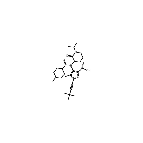 Cc1c(C#CC(C)(C)C)sc(C(=O)O)c1N(C(=O)C1CCC(C)CC1)C1CCCN(C(C)C)C1=O